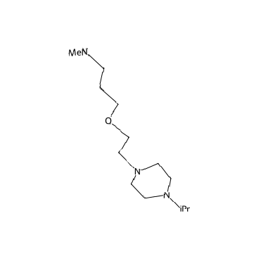 CNCCCOCCN1CCN(C(C)C)CC1